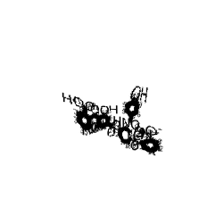 O=C(N[C@H]1CN(S(=O)(=O)c2ccccc2[N+](=O)[O-])CCC[C@@H]1OC(=O)c1cc(O)c(C(=O)c2c(O)cccc2C(=O)O)c(O)c1)c1ccc(O)cc1